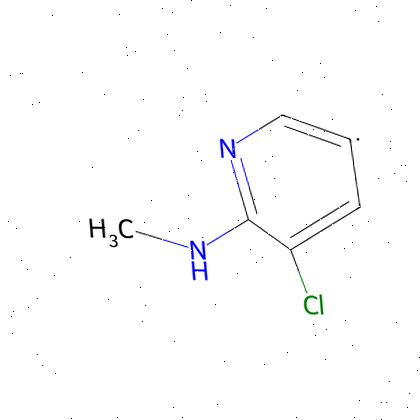 CNc1nc[c]cc1Cl